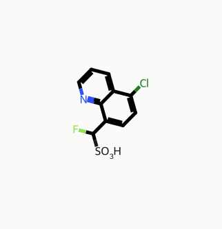 O=S(=O)(O)C(F)c1ccc(Cl)c2cccnc12